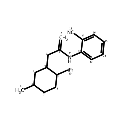 C=C(CC1CC(C)CCC1C(C)C)Nc1ccccc1C#N